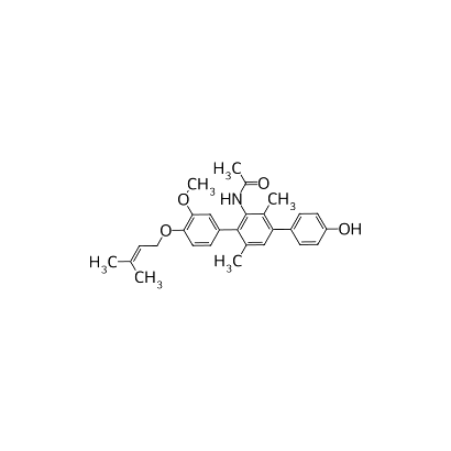 COc1cc(-c2c(C)cc(-c3ccc(O)cc3)c(C)c2NC(C)=O)ccc1OCC=C(C)C